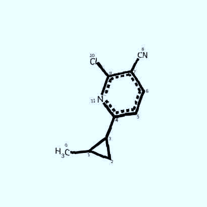 CC1CC1c1ccc(C#N)c(Cl)n1